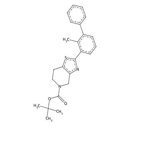 Cc1c(-c2ccccc2)cccc1-c1nc2c(s1)CCN(C(=O)OC(C)(C)C)C2